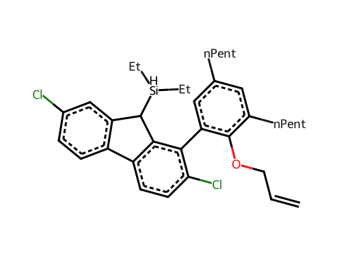 C=CCOc1c(CCCCC)cc(CCCCC)cc1-c1c(Cl)ccc2c1C([SiH](CC)CC)c1cc(Cl)ccc1-2